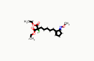 CCOC(=O)C(F)(CCCCCC1=CCC/C1=N\OC)C(=O)OCC